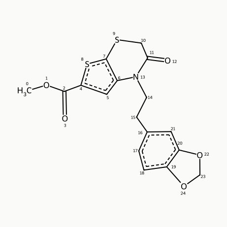 COC(=O)c1cc2c(s1)SCC(=O)N2CCc1ccc2c(c1)OCO2